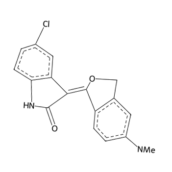 CNc1ccc2c(c1)COC2=C1C(=O)Nc2ccc(Cl)cc21